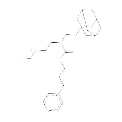 CCNCCN(CCC12CC3CC(CC(C3)C1)C2)C(=O)NCCCc1ccncc1